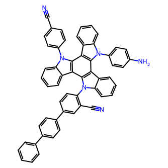 N#Cc1ccc(-n2c3ccccc3c3c2c2c4ccccc4n(-c4ccc(N)cc4)c2c2c4ccccc4n(-c4ccc(-c5ccc(-c6ccccc6)cc5)cc4C#N)c23)cc1